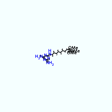 CO[Si](CCCCCCCCNc1nc(N)nc(N)n1)(OC)OC